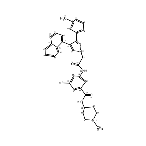 Cc1cccc(-c2nn(CC(=O)Nc3cc(F)cc(C(=O)OC4CCN(C)CC4)c3)cc2-c2ccnc3ccccc23)n1